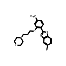 COc1ccc(-c2nc3cc(F)ccc3s2)c(OCCCN2CCOCC2)c1